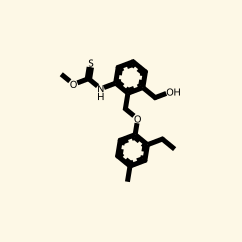 CCc1cc(C)ccc1OCc1c(CO)cccc1NC(=S)OC